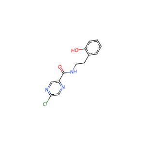 O=C(NCCc1ccccc1O)c1cnc(Cl)cn1